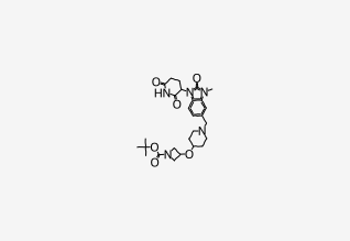 Cn1c(=O)n(C2CCC(=O)NC2=O)c2ccc(CN3CCC(OC4CN(C(=O)OC(C)(C)C)C4)CC3)cc21